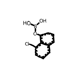 OB(O)Oc1cccc2cccc(Cl)c12